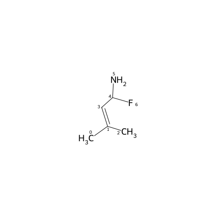 CC(C)=CC(N)F